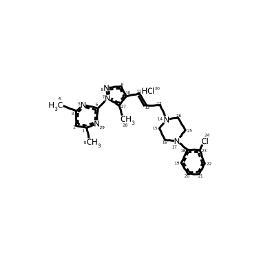 Cc1cc(C)nc(-n2ncc(C=CCN3CCN(c4ccccc4Cl)CC3)c2C)n1.Cl